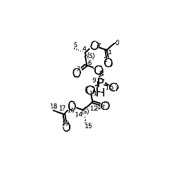 CC(=O)O[C@@H](C)C(=O)O[PH](=O)OC(=O)[C@H](C)OC(C)=O